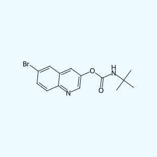 CC(C)(C)NC(=O)Oc1cnc2ccc(Br)cc2c1